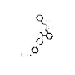 COc1ccc(N2CCN(C(C(N)=O)c3ccccc3CN[C@@H](C)CC3CCCCC3)CC2)cc1